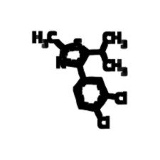 Cc1nc(-c2ccc(Cl)c(Cl)c2)c(C(C)C)s1